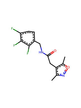 Cc1noc(C)c1CC(=O)NCc1ccc(F)c(F)c1F